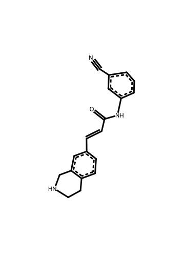 N#Cc1cccc(NC(=O)/C=C/c2ccc3c(c2)CNCC3)c1